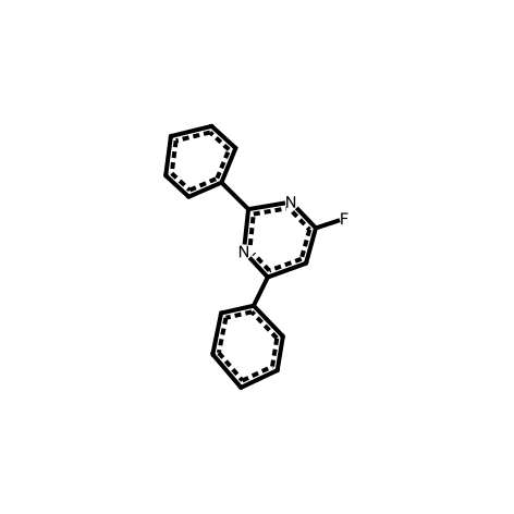 Fc1cc(-c2ccccc2)nc(-c2ccccc2)n1